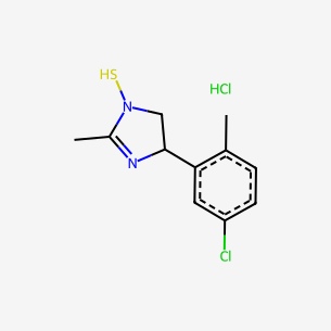 CC1=NC(c2cc(Cl)ccc2C)CN1S.Cl